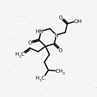 C=CCC1(CCC(C)C)C(=O)NCN(CC(=O)O)C1=O